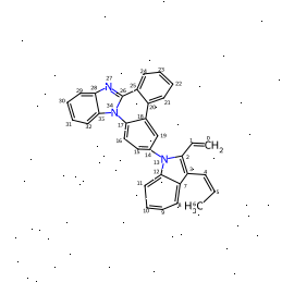 C=Cc1c(/C=C\C)c2ccccc2n1-c1ccc2c(c1)c1ccccc1c1nc3ccccc3n21